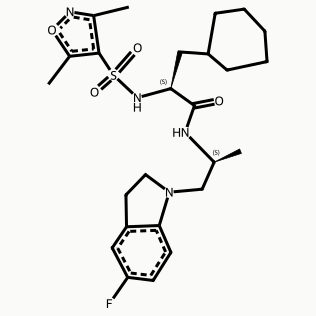 Cc1noc(C)c1S(=O)(=O)N[C@@H](CC1CCCCC1)C(=O)N[C@@H](C)CN1CCc2cc(F)ccc21